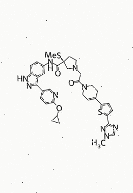 CS[C@@]1(C(=O)Nc2ccc3[nH]nc(-c4ccc(OC5CC5)nc4)c3c2)CCN(CC(=O)N2CC=C(c3ccc(-c4ncn(C)n4)s3)CC2)C1